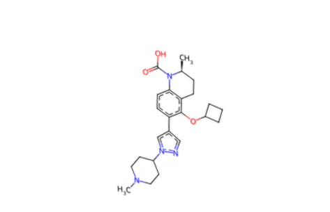 C[C@H]1CCc2c(ccc(-c3cnn(C4CCN(C)CC4)c3)c2OC2CCC2)N1C(=O)O